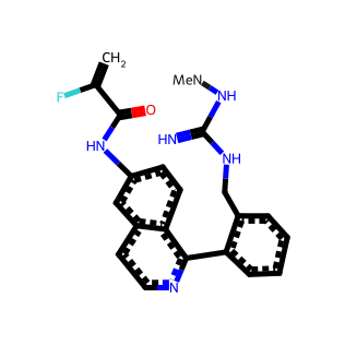 C=C(F)C(=O)Nc1ccc2c(-c3ccccc3CNC(=N)NNC)nccc2c1